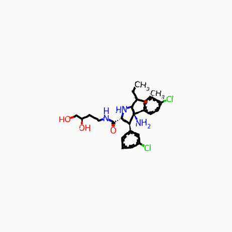 CCC(CC)C1N[C@@H](C(=O)NCCC(O)CO)[C@H](c2cccc(Cl)c2)[C@@]1(N)c1ccc(Cl)cc1